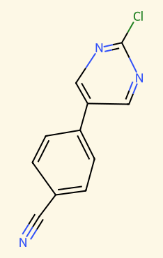 N#Cc1ccc(-c2cnc(Cl)nc2)cc1